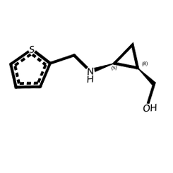 OC[C@@H]1C[C@@H]1NCc1cccs1